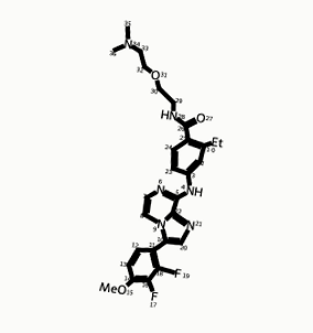 CCc1cc(Nc2nccn3c(-c4ccc(OC)c(F)c4F)cnc23)ccc1C(=O)NCCOCCN(C)C